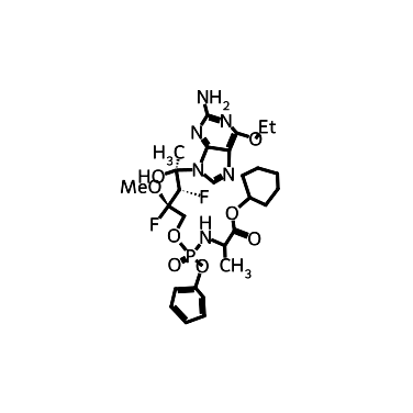 CCOc1nc(N)nc2c1ncn2[C@](C)(O)[C@H](F)[C@@](F)(COP(=O)(NC(C)C(=O)OC1CCCCC1)Oc1ccccc1)OC